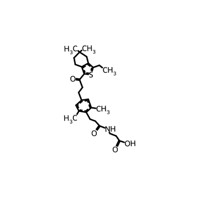 CCc1sc(C(=O)CCc2cc(C)c(CCC(=O)NCCC(=O)O)c(C)c2)c2c1CC(C)(C)CC2